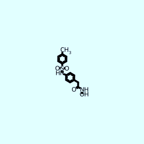 Cc1ccc(S(=O)(=O)Nc2ccc(CC(=O)NO)cc2)cc1